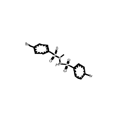 CN(NS(=O)(=O)c1ccc(Br)cc1)S(=O)(=O)c1ccc(Br)cc1